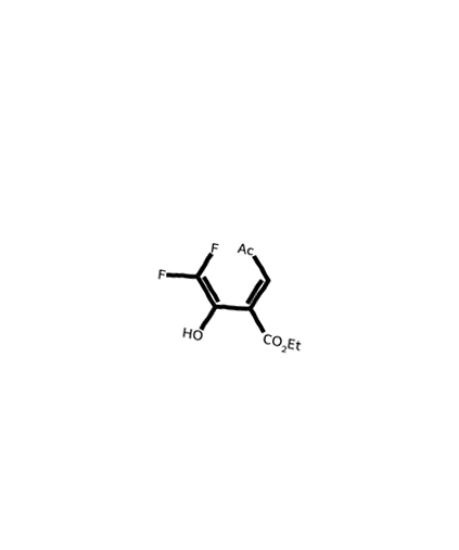 CCOC(=O)C(=CC(C)=O)C(O)=C(F)F